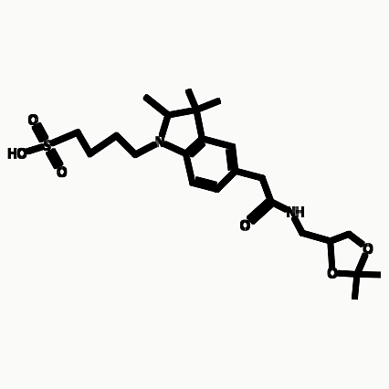 CC1N(CCCCS(=O)(=O)O)c2ccc(CC(=O)NCC3COC(C)(C)O3)cc2C1(C)C